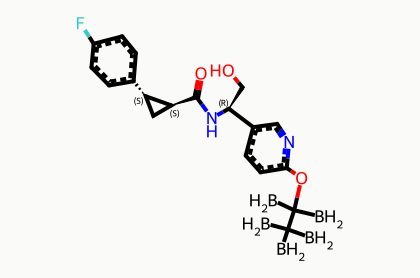 BC(B)(B)C(B)(B)Oc1ccc([C@H](CO)NC(=O)[C@H]2C[C@@H]2c2ccc(F)cc2)cn1